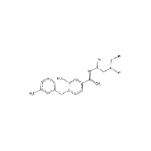 C=C(NC(CN(CCC)CC(C)C)C(C)C)c1ccc(Cc2cccc(C)c2)c(C)c1